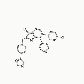 O=c1n(Cc2ccc(-c3cnco3)cc2)nc2c(-c3ccncc3)c(-c3ccc(Cl)cc3)cnn12